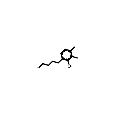 [CH2]CCCCc1ccc(C)c(C)c1[O]